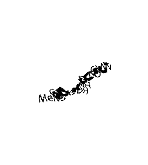 CNS(=O)(=O)c1cccc(OCC(O)CN[C@H]2COC3(CCN(S(=O)(=O)c4ccc5nccn5c4)CC3)C2)c1